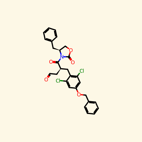 O=CC[C@H](Cc1c(Cl)cc(OCc2ccccc2)cc1Cl)C(=O)N1C(=O)OC[C@@H]1Cc1ccccc1